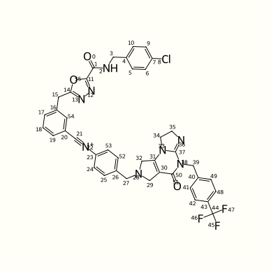 O=C(NCc1ccc(Cl)cc1)c1nnc(Cc2cccc(C#[N+]c3ccc(CN4CC5=C(C4)N4CCN=C4N(Cc4ccc(C(F)(F)F)cc4)C5=O)cc3)c2)o1